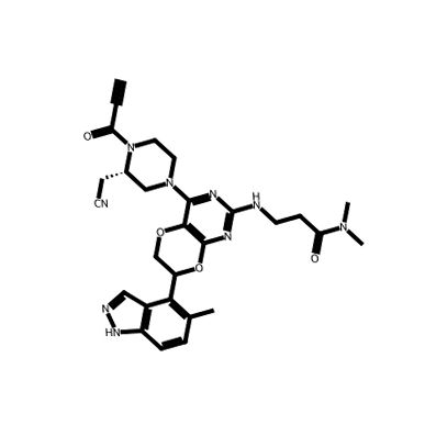 C#CC(=O)N1CCN(c2nc(NCCC(=O)N(C)C)nc3c2OCC(c2c(C)ccc4[nH]ncc24)O3)C[C@@H]1CC#N